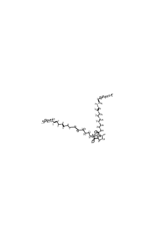 CCCCCC=CCC=CCCCCCCCCNC(=O)C1CCCN1C(=O)CCCCCCCC=CCC=CCCCCC